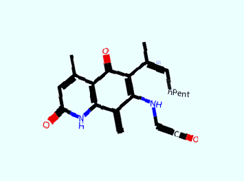 C=C1C(NC=C=O)=C(/C(C)=C\CCCCC)C(=O)c2c(C)cc(=O)[nH]c21